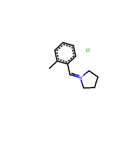 Cc1ccccc1C=[N+]1CCCC1.[Cl-]